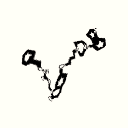 O=C(NOCc1ccccc1)OCN1C(=O)CCc2ccc(OCCCCN3CCN(c4cccc5sccc45)CC3)cc21